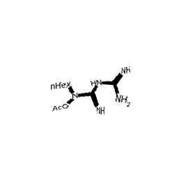 CCCCCCN(OC(C)=O)C(=N)NC(=N)N